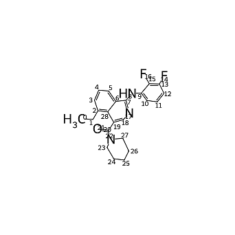 CCc1cccc2c(Nc3cccc(F)c3F)ncc(C(=O)N3CCCCC3)c12